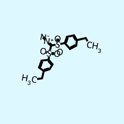 CCc1ccc(S(=O)(=O)C(=[N+]=[N-])S(=O)(=O)c2ccc(CC)cc2)cc1